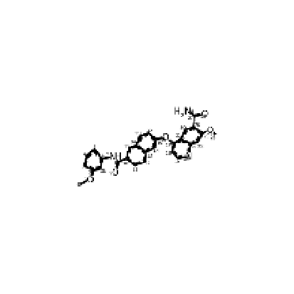 COc1cccc(NC(=O)c2ccc3cc(Oc4ccnc5cc(OC)c(C(N)=O)cc45)ccc3c2)c1